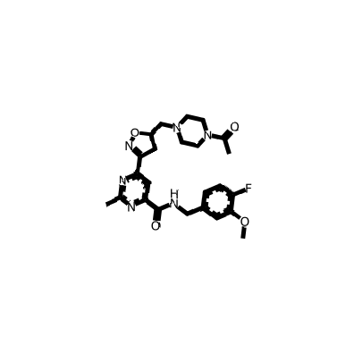 COc1cc(CNC(=O)c2cc(C3=NOC(CN4CCN(C(C)=O)CC4)C3)nc(C)n2)ccc1F